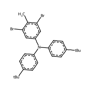 Cc1c(Br)cc(N(c2ccc(C(C)(C)C)cc2)c2ccc(C(C)(C)C)cc2)cc1Br